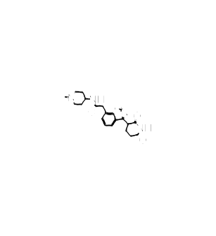 CN1CCC(NC(=O)Cc2cccc3c(C4CCC(=O)NC4=O)noc23)CC1